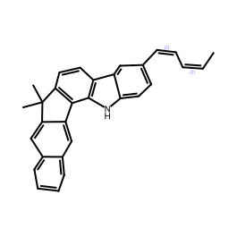 C/C=C\C=C/c1ccc2[nH]c3c4c(ccc3c2c1)C(C)(C)c1cc2ccccc2cc1-4